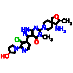 C[C@@H]1OCC2(CCN(c3nc4[nH]nc(-c5ccnc(N6CC[C@@H](O)C6)c5Cl)c4c(=O)n3C)CC2)[C@@H]1N